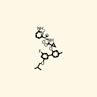 Cc1ccc(-c2cc(F)cc(OCC(C)C)c2)c(OC2(C(=O)NS(=O)(=O)c3cccc(N)n3)CC2)c1